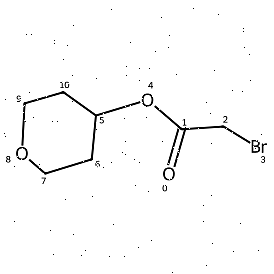 O=C(CBr)OC1CCOCC1